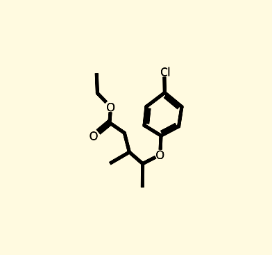 CCOC(=O)CC(C)C(C)Oc1ccc(Cl)cc1